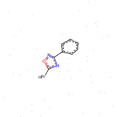 CCCc1nc(-c2ccccc2)no1